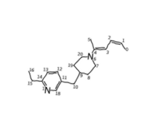 C/C=C\C=C(/C)N1CCC(Cc2ccc(CC)nc2)CC1